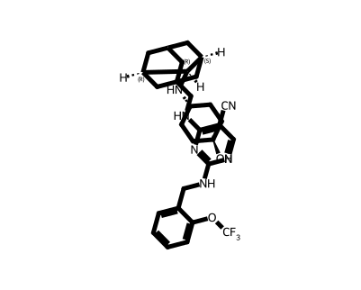 N#Cc1cnc(NCc2ccccc2OC(F)(F)F)nc1NCC12CC3C[C@H](C1)[C@H](N[C@H]1CC[C@H](O)CC1)[C@@H](C3)C2